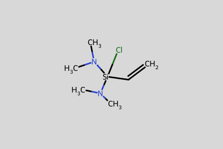 C=C[Si](Cl)(N(C)C)N(C)C